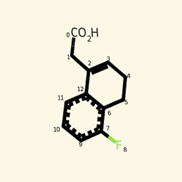 O=C(O)CC1=CCCc2c(F)cccc21